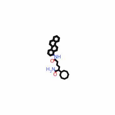 NC(=O)C(CCCC(=O)Nc1cccc2c1ccc1c3ccccc3ccc21)C1CCCCCCC1